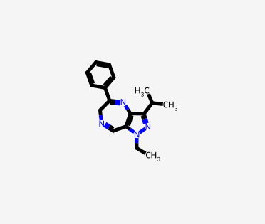 CCn1nc(C(C)C)c2c1[C]=NCC(c1ccccc1)=N2